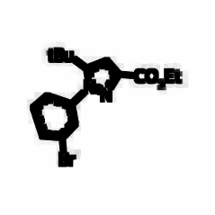 CCOC(=O)c1cc(C(C)(C)C)n(-c2cccc(Br)c2)n1